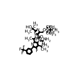 CC(C)c1nc(-c2cccc(C(F)(F)F)c2)c(F)c(C(C)C)c1N(C(N)=O)S(=O)(=O)c1sc(C(C)(C)O)nc1CO[Si](C)(C)C(C)(C)C